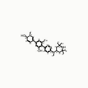 CN1C=C(c2cc(O)c(-c3ccc(N(C)C4CC(C)(C)NC(C)(C)C4)nn3)c(F)c2)C=CC1O